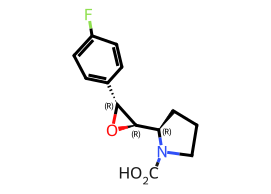 O=C(O)N1CCC[C@@H]1[C@H]1O[C@@H]1c1ccc(F)cc1